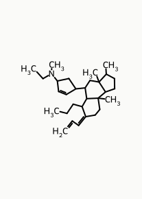 C=C/C=C1/CCC2(C)C(C1CCC)C(C1C=CC(N(C)CC)C1)CC1(C)C(C)CCC12